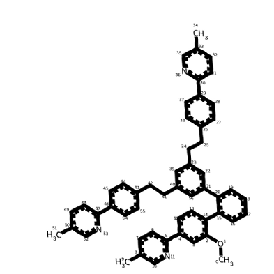 COc1cc(-c2ccc(C)cn2)ccc1-c1ccccc1-c1cc(CCc2ccc(-c3ccc(C)cn3)cc2)cc(CCc2ccc(-c3ccc(C)cn3)cc2)c1